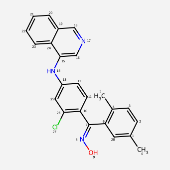 Cc1ccc(C)c(C(=NO)c2ccc(Nc3cncc4ccccc34)cc2Cl)c1